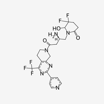 N[C@H](CC(=O)N1CCc2c(nc(-c3ccncc3)nc2C(F)(F)F)C1)CN1C(=O)CCC(F)(F)C1O